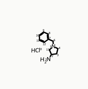 Cl.NC1CCN(Cc2ccccc2)C1